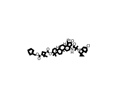 CC(C)C1=C2[C@H]3CC[C@@H]4[C@@]5(C)CC[C@H](OC(=O)[C@H]6C[C@@H](C(=O)OCc7ccccc7)C6(C)C)C(C)(C)C5CC[C@@]4(C)[C@]3(C)CC[C@@]2(NC(=O)C(C)(C)NCC2(c3ccc(Cl)cc3)CC2)CC1=O